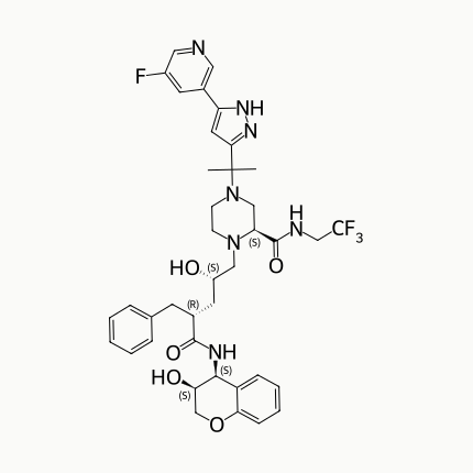 CC(C)(c1cc(-c2cncc(F)c2)[nH]n1)N1CCN(C[C@@H](O)C[C@@H](Cc2ccccc2)C(=O)N[C@H]2c3ccccc3OC[C@H]2O)[C@H](C(=O)NCC(F)(F)F)C1